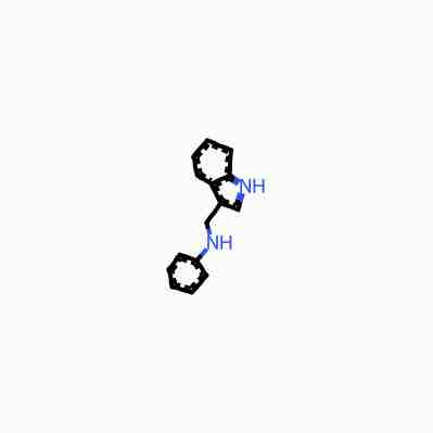 c1ccc(NCc2c[nH]c3ccccc23)cc1